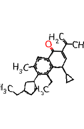 C=C(C)C1=CC(C2CC2)c2c(cc(C)c(C3CCC(CC)C3)c2CC)C1=O